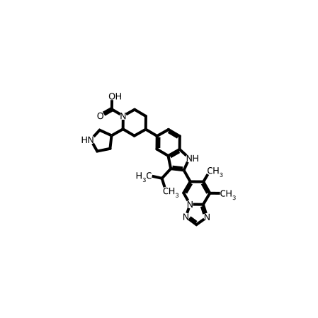 Cc1c(-c2[nH]c3ccc(C4CCN(C(=O)O)C(C5CCNC5)C4)cc3c2C(C)C)cn2ncnc2c1C